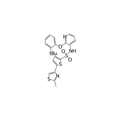 Cc1nc(-c2ccc(S(=O)(=O)Nc3cccnc3Oc3ccccc3C(C)(C)C)s2)cs1